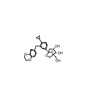 OC[C@]12CO[C@](c3ccc(C4CC4)c(Cc4ccc5c(c4)OCCO5)c3)(C[C@@H](O)[C@@H]1O)O2